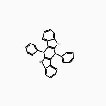 c1ccc(C2c3[nH]c4ccccc4c3C(c3ccccc3)c3[nH]c4ccccc4c32)cc1